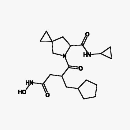 O=C(CC(CC1CCCC1)C(=O)N1CC2(CC2)CC1C(=O)NC1CC1)NO